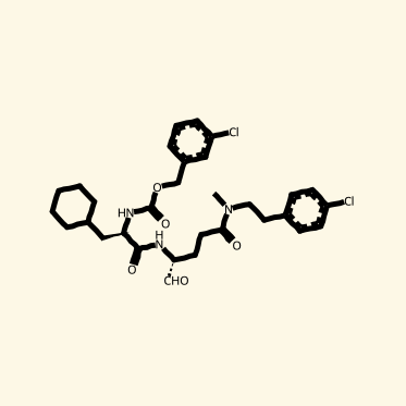 CN(CCc1ccc(Cl)cc1)C(=O)CC[C@H](C=O)NC(=O)[C@@H](CC1CCCCC1)NC(=O)OCc1cccc(Cl)c1